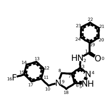 O=C(Nc1n[nH]c2c1CN(Cc1cccc(F)c1)C2)c1ccccc1